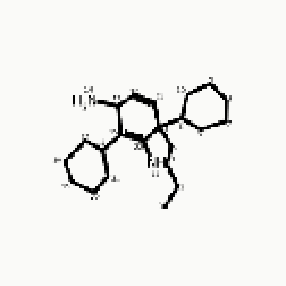 CCCCC1(C2CCCCC2)C=CC(N)C(C2CCCCC2)=C1N